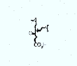 CN(C)CCN(CCN(C)C)C(=O)CCC(=O)O